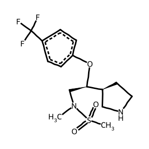 CN(C[C@@H](Oc1ccc(C(F)(F)F)cc1)[C@H]1CCNC1)S(C)(=O)=O